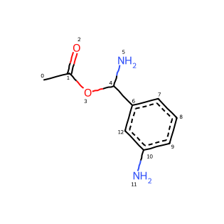 CC(=O)OC(N)c1cccc(N)c1